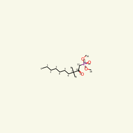 CCCCCCCC(C)(C)C(=O)CP(=O)(OC)OC